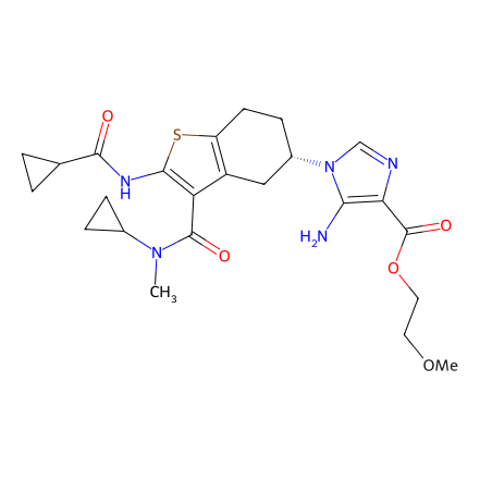 COCCOC(=O)c1ncn([C@H]2CCc3sc(NC(=O)C4CC4)c(C(=O)N(C)C4CC4)c3C2)c1N